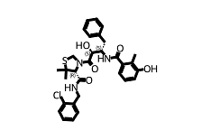 Cc1c(O)cccc1C(=O)N[C@@H](Cc1ccccc1)[C@H](O)C(=O)N1CSC(C)(C)[C@H]1C(=O)NCc1ccccc1Cl